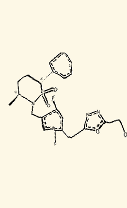 C[C@H]1CC[C@H](c2ccccc2)S(=O)(=O)N1Cc1cc(F)c(Cc2nnc(CO)o2)cc1F